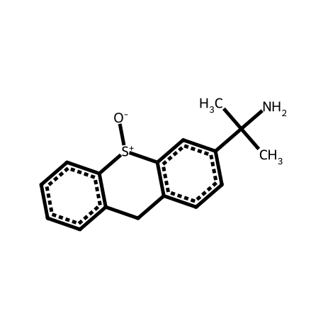 CC(C)(N)c1ccc2c(c1)[S+]([O-])c1ccccc1C2